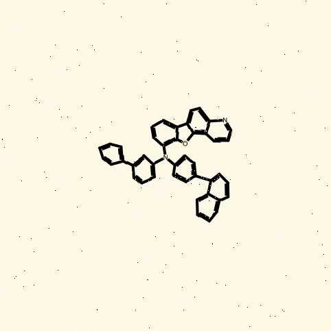 c1ccc(-c2cccc(N(c3ccc(-c4cccc5ccccc45)cc3)c3cccc4c3oc3c5cccnc5ccc43)c2)cc1